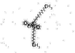 CCCCCCCCCCCCCCC[n+]1c(CC(C)c2ccccc2)cn(CCCCCCCCCCCCC)c1Cc1ccccc1